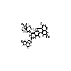 C#Cc1c(F)ccc2cc(O)cc(-c3ccc4c(N5CCN[C@@](CC)(COC)C5)nc(OC[C@@]56CCCN5C[C@H](F)C6)nc4c3F)c12